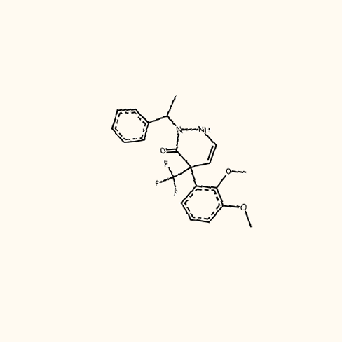 COc1cccc(C2(C(F)(F)F)C=CNN(C(C)c3ccccc3)C2=O)c1OC